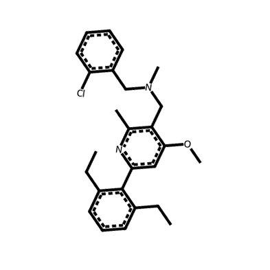 CCc1cccc(CC)c1-c1cc(OC)c(CN(C)Cc2ccccc2Cl)c(C)n1